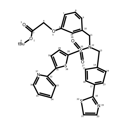 CC(C)(C)OC(=O)COc1cccc(CN(Cc2ccc(-c3nccs3)cc2)S(=O)(=O)c2ccc(-c3ccccn3)s2)c1